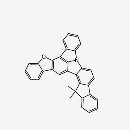 CC1(C)c2ccccc2-c2ccc3c(c21)c1cc2c4ccccc4oc2c2c4ccccc4n3c12